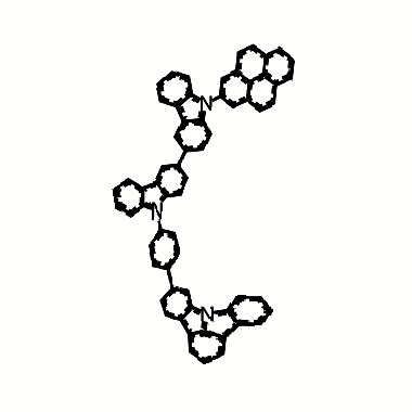 c1cc2ccc3cc(-n4c5ccccc5c5cc(-c6ccc7c(c6)c6ccccc6n7-c6ccc(-c7ccc8c9cccc%10c%11ccccc%11n(c8c7)c%109)cc6)ccc54)cc4ccc(c1)c2c34